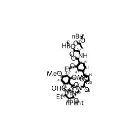 CBOC(=O)[C@H](CC(=O)OCCCC)NC(=O)c1ccc(-c2ccc(C(=O)NCNC(=O)[C@H](CCCCC)[C@@H](CC)N(C=O)OC(=O)c3ccc(OC)cc3OC)o2)cc1OCC